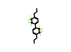 CCCC1=CC=C(C2=CC=C(CCC)C(F)(F)C2(F)F)C(F)(F)C1(F)F